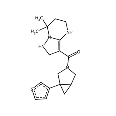 CC1(C)CCNC2=C(C(=O)N3CC4CC4(c4ccsc4)C3)CNN21